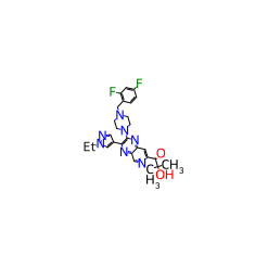 CCn1cc(-c2nc3cnc(C(=O)C(C)(C)O)cc3nc2N2CCN(Cc3ccc(F)cc3F)CC2)cn1